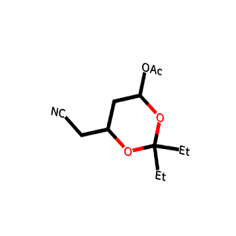 CCC1(CC)OC(CC#N)CC(OC(C)=O)O1